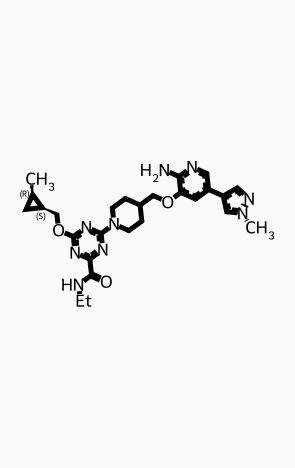 CCNC(=O)c1nc(OC[C@H]2C[C@H]2C)nc(N2CCC(COc3cc(-c4cnn(C)c4)cnc3N)CC2)n1